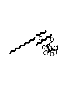 CCCC(C)=O.CCCCCCC(C)=O.CCCCCCCCCCCC.ClC(Cl)(Cl)C(Cl)(Cl)Cl.ClCCl